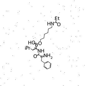 CCC(=O)NCCCCCCOB(O)[C@H](CC(C)C)NC(=O)[C@@H](N)Cc1ccccc1